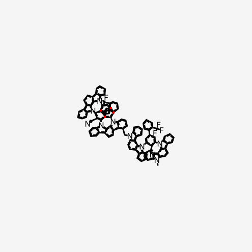 Cn1c2ccccc2c2c1ccc1c3ccccc3n(-c3cc(-c4ccccc4C(F)(F)F)cc(-n4c5ccccc5c5ccc6c(c7ccccc7n6Cc6cccc7c6c6ccc8c9ccccc9n(-c9cc(-c%10ccccc%10C(F)(F)F)cc(-n%10c%11ccccc%11c%11ccc%12c%13ccccc%13n(-c%13ccccc%13)c%12c%11%10)c9C#N)c8c6n7-c6ccccc6)c54)c3C#N)c12